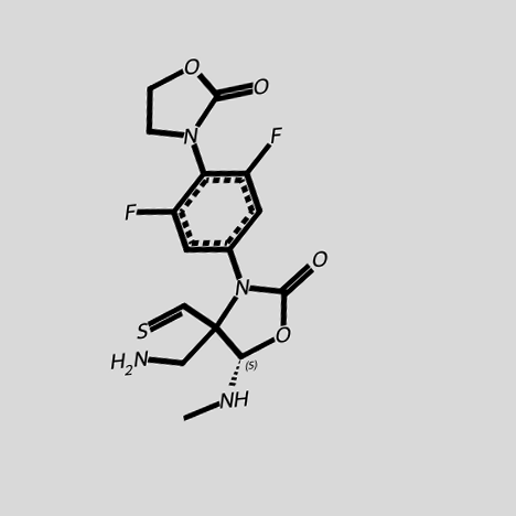 CN[C@H]1OC(=O)N(c2cc(F)c(N3CCOC3=O)c(F)c2)C1(C=S)CN